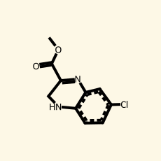 COC(=O)C1=Nc2cc(Cl)ccc2NC1